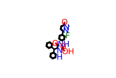 Cn1nc(-c2ccc(NC(=O)[C@@H](NC(=O)O)C(c3ccccc3)c3ccccc3)cc2F)ccc1=O